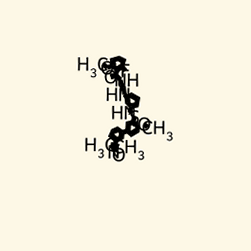 COc1ccc(-c2cccc(C(C)(C)N=O)c2)cc1SNc1cccc(NCCNC(=O)c2c(F)cccc2OC)c1